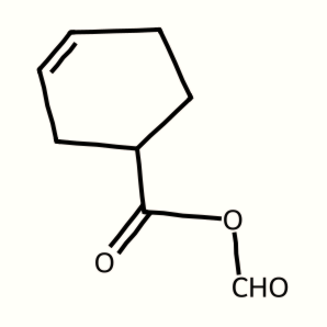 O=COC(=O)C1CC=CCC1